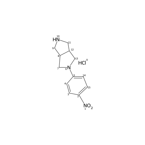 Cl.O=[N+]([O-])c1ccc(N2CC3CNCC3C2)cc1